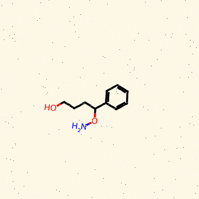 NOC(CCCO)c1ccccc1